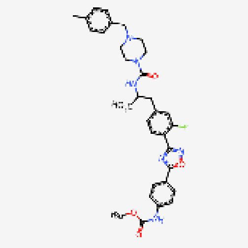 Cc1ccc(CN2CCN(C(=O)NC(Cc3ccc(-c4noc(-c5ccc(NC(=O)OC(C)(C)C)cc5)n4)c(F)c3)C(=O)O)CC2)cc1